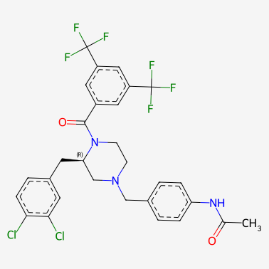 CC(=O)Nc1ccc(CN2CCN(C(=O)c3cc(C(F)(F)F)cc(C(F)(F)F)c3)[C@H](Cc3ccc(Cl)c(Cl)c3)C2)cc1